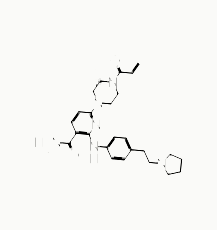 C=CC(=O)N1CCN(c2ccc(C(N)=O)c(Nc3ccc(CCN4CCCC4)cc3)n2)C[C@@H]1C